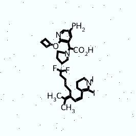 CC(C)=C(/C=C\C1=C(I)N(I)CCC1)CCCCC(F)(F)[C@@H]1CCN(C(C(=O)O)c2cc(P)cnc2OC2CCC2)C1